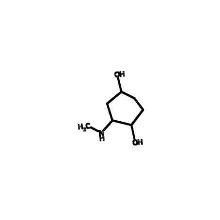 CNC1CC(O)CCC1O